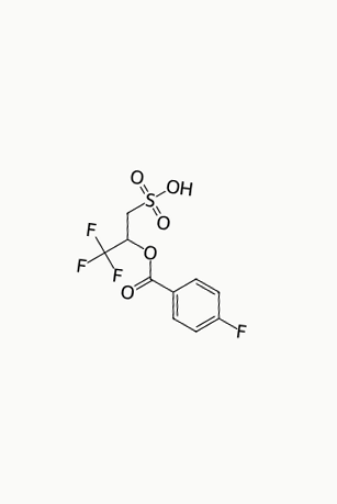 O=C(OC(CS(=O)(=O)O)C(F)(F)F)c1ccc(F)cc1